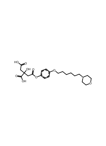 O=C(O)CC(O)(CC(=O)Oc1ccc(OCCCCCCN2CCOCC2)cc1)C(=O)O